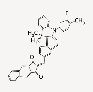 Cc1ccc(N2c3ccccc3C(C)(C)c3c2ccc2cc(C=C4C(=O)c5cc6ccccc6cc5C4=O)ccc32)cc1F